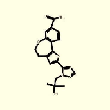 CC(C)(O)Cn1ncnc1-c1cc2c(s1)-c1ccc(C(N)=O)cc1OCC2